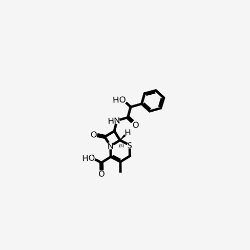 CC1=C(C(=O)O)N2C(=O)C(NC(=O)C(O)c3ccccc3)[C@@H]2SC1